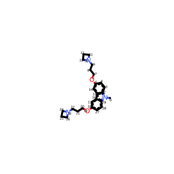 Cn1c2ccc(OCCCN3CCC3)cc2c2cc(OCCCN3CCC3)ccc21